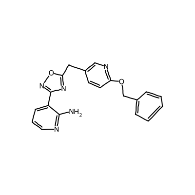 Nc1ncccc1-c1noc(Cc2ccc(OCc3ccccc3)nc2)n1